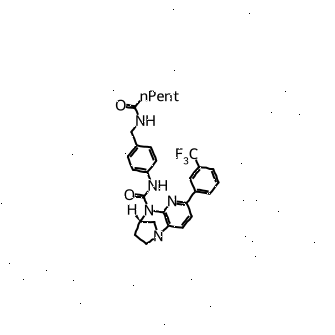 CCCCCC(=O)NCc1ccc(NC(=O)N2c3nc(-c4cccc(C(F)(F)F)c4)ccc3N3CC[C@H]2C3)cc1